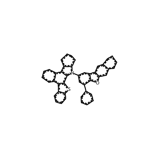 c1ccc(-c2cc(-n3c4ccccc4c4c5ccccc5c5c6ccccc6sc5c43)cc3c2oc2cc4ccccc4cc23)cc1